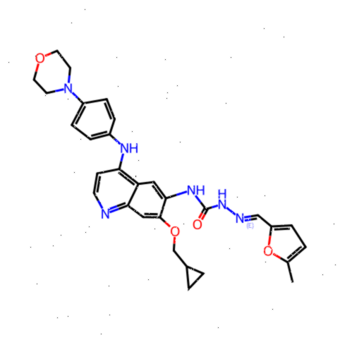 Cc1ccc(/C=N/NC(=O)Nc2cc3c(Nc4ccc(N5CCOCC5)cc4)ccnc3cc2OCC2CC2)o1